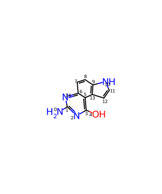 Nc1nc(O)c2c(ccc3[nH]ccc32)n1